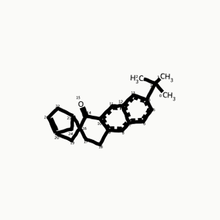 CC(C)(C)c1ccc2cc3c(cc2c1)C(=O)C1(CC3)CC2=CCC1C2